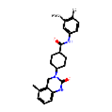 CCc1ccc(NC(=O)C2CCC(N3Cc4c(C)cccc4NC3=O)CC2)cc1OC